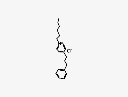 CCCCCC[n+]1ccc(CCCc2ccccc2)cc1.[Cl-]